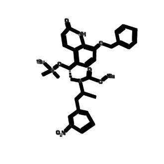 CC(Cc1cccc([N+](=O)[O-])c1)N(C[C@H](O[Si](C)(C)C(C)(C)C)c1ccc(OCc2ccccc2)c2[nH]c(=O)ccc12)C(=O)OC(C)(C)C